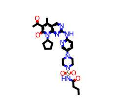 CCCC(=O)NS(=O)(=O)N1CCN(c2ccc(Nc3ncc4c(C)c(C(C)=O)c(=O)n(C5CCCC5)c4n3)nc2)CC1